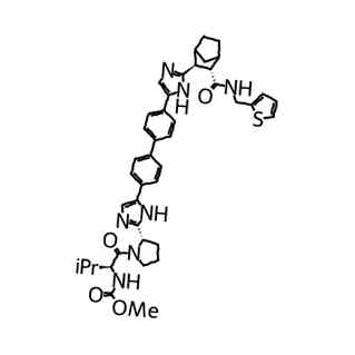 COC(=O)N[C@H](C(=O)N1CCC[C@H]1c1ncc(-c2ccc(-c3ccc(-c4cnc([C@H]5C6CCC(C6)[C@@H]5C(=O)NCc5cccs5)[nH]4)cc3)cc2)[nH]1)C(C)C